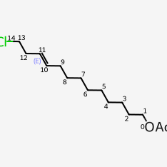 CC(=O)OCCCCCCCCC/C=C/CCCl